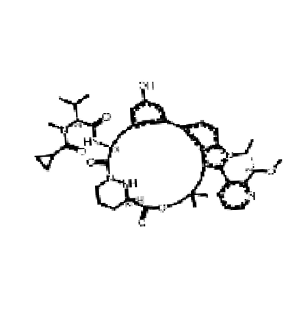 CCn1c(-c2cccnc2[C@H](C)OC)c2c3cc(ccc31)-c1cc(O)cc(c1)C[C@H](NC(=O)[C@H](C(C)C)N(C)C(=O)C1CC1)C(=O)N1CCC[C@H](N1)C(=O)OCC(C)(C)C2